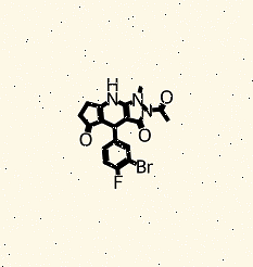 CC(=O)n1c(=O)c2c(n1C)NC1=C(C(=O)CC1)C2c1ccc(F)c(Br)c1